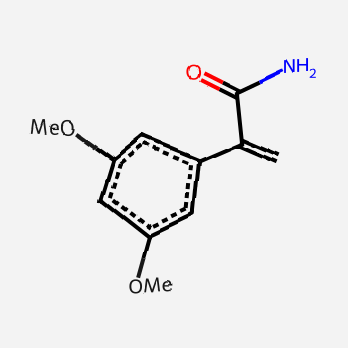 C=C(C(N)=O)c1cc(OC)cc(OC)c1